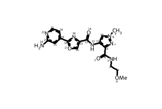 COCCNC(=O)c1nn(C)cc1NC(=O)c1coc(-c2ccnc(N)c2)n1